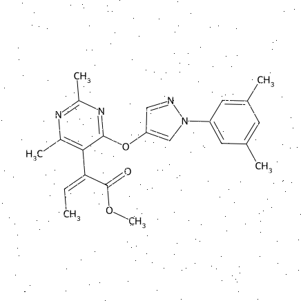 CC=C(C(=O)OC)c1c(C)nc(C)nc1Oc1cnn(-c2cc(C)cc(C)c2)c1